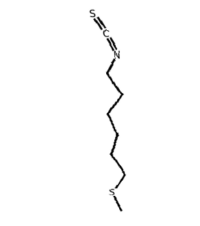 CSCCCCCCN=C=S